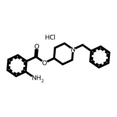 Cl.Nc1ccccc1C(=O)OC1CCN(Cc2ccccc2)CC1